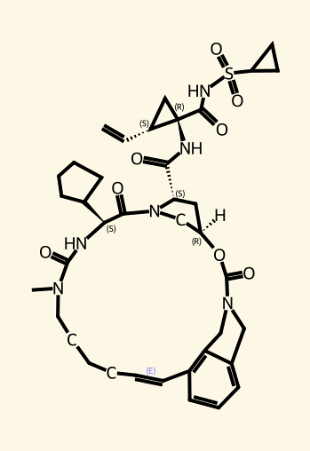 C=C[C@@H]1C[C@]1(NC(=O)[C@@H]1C[C@@H]2CN1C(=O)[C@H](C1CCCC1)NC(=O)N(C)CCCC/C=C/c1cccc3c1CN(C3)C(=O)O2)C(=O)NS(=O)(=O)C1CC1